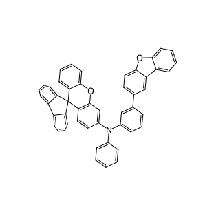 c1ccc(N(c2cccc(-c3ccc4oc5ccccc5c4c3)c2)c2ccc3c(c2)Oc2ccccc2C32c3ccccc3-c3ccccc32)cc1